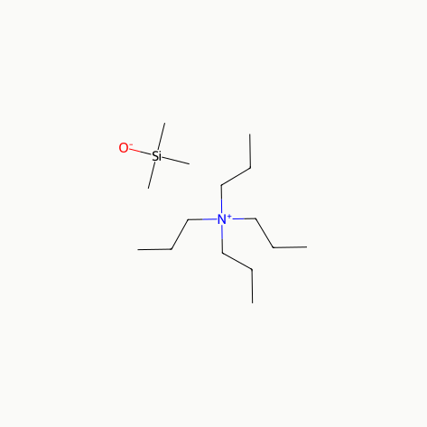 CCC[N+](CCC)(CCC)CCC.C[Si](C)(C)[O-]